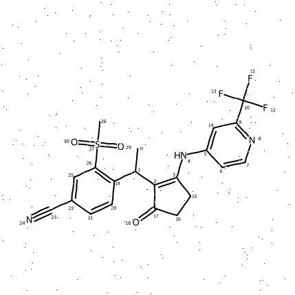 CC(C1=C(Nc2ccnc(C(F)(F)F)c2)CCC1=O)c1ccc(C#N)cc1S(C)(=O)=O